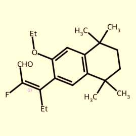 CCOc1cc2c(cc1/C(CC)=C(/F)C=O)C(C)(C)CCC2(C)C